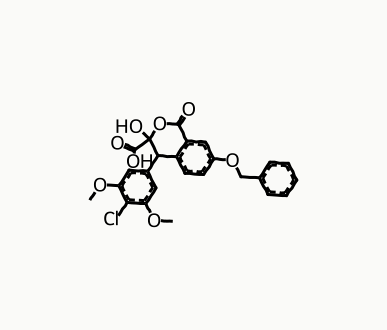 COc1cc(C2c3ccc(OCc4ccccc4)cc3C(=O)OC2(O)C(=O)O)cc(OC)c1Cl